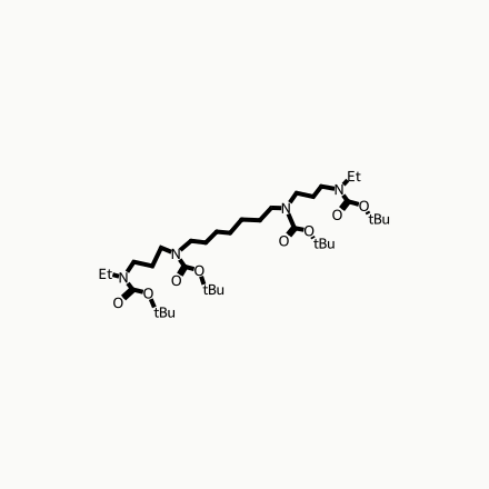 CCN(CCCN(CCCCCCCN(CCCN(CC)C(=O)OC(C)(C)C)C(=O)OC(C)(C)C)C(=O)OC(C)(C)C)C(=O)OC(C)(C)C